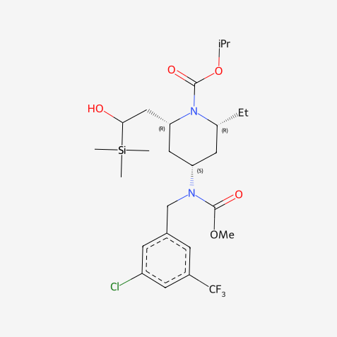 CC[C@@H]1C[C@H](N(Cc2cc(Cl)cc(C(F)(F)F)c2)C(=O)OC)C[C@H](CC(O)[Si](C)(C)C)N1C(=O)OC(C)C